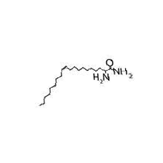 CCCCCCCC/C=C\CCCCCCCCC(N)C(N)=O